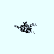 C[C@H](N)C(=O)N[C@@H](Cc1ccccc1)C(=O)N[C@@H](CCCNC(=N)N)C(=O)N[C@@H](C)C(=O)N[C@H](C(=O)N[C@@H](CC(=O)O)C(=O)N[C@@H](Cc1c[nH]cn1)C(=O)NCC(=O)O)[C@@H](C)O